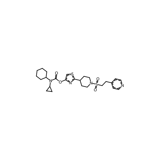 O=C(Oc1csc(C2CCN(S(=O)(=O)CCc3ccncc3)CC2)n1)N(C1CCCCC1)C1CC1